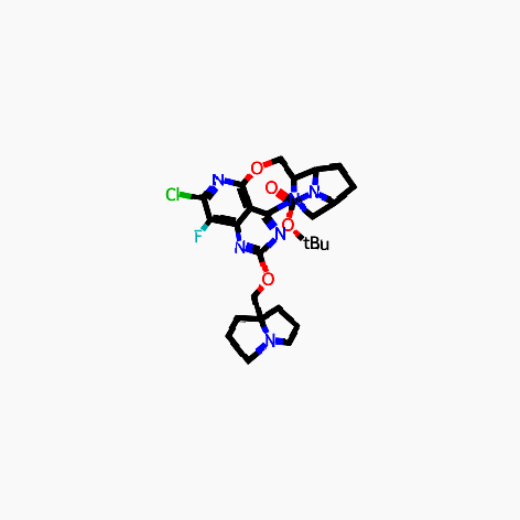 CC(C)(C)OC(=O)N1C2CCC1C1COc3nc(Cl)c(F)c4nc(OCC56CCCN5CCC6)nc(c34)N1C2